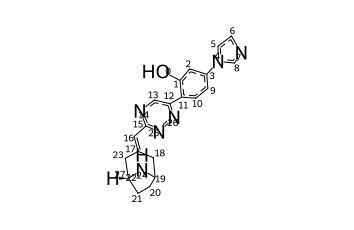 Oc1cc(-n2ccnc2)ccc1-c1cnc(/C=C2\CC3CC[C@H](C2)N3)nn1